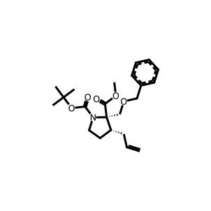 C=CC[C@@H]1CCN(C(=O)OC(C)(C)C)[C@@]1(COCc1ccccc1)C(=O)OC